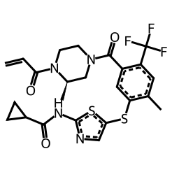 C=CC(=O)N1CCN(C(=O)c2cc(Sc3cnc(NC(=O)C4CC4)s3)c(C)cc2C(F)(F)F)C[C@H]1C